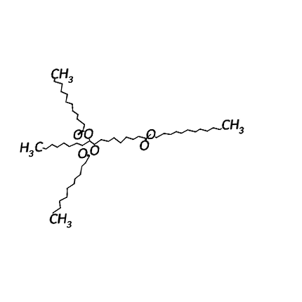 CCCCCCCCCCCCOC(=O)CCCCCCCC(OC(=O)CCCCCCCCCCC)C(CCCCCCCC)OC(=O)CCCCCCCCCCC